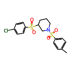 Cc1ccc(S(=O)(=O)N2CCCC(S(=O)(=O)c3ccc(Cl)cc3)C2)cc1